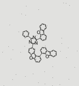 c1ccc(-c2nc(-c3ccc4oc5cccc(-c6cccc7c6oc6ccccc67)c5c4c3)nc(-c3cccc4c3oc3ccccc34)n2)cc1